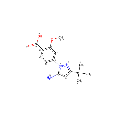 COc1cc(-n2nc(C(C)(C)C)cc2N)ccc1C(=O)O